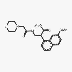 COC(=O)C(CNC(=O)CN1CCOCC1)c1cccc2ccc(OC)cc12